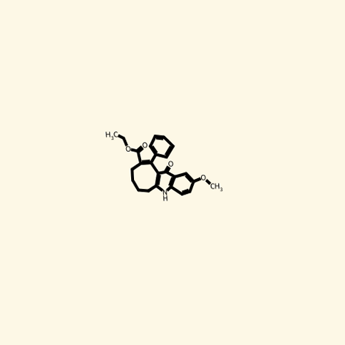 CCOC(=O)C1=C(c2ccccc2)c2c([nH]c3ccc(OC)cc3c2=O)CCCC1